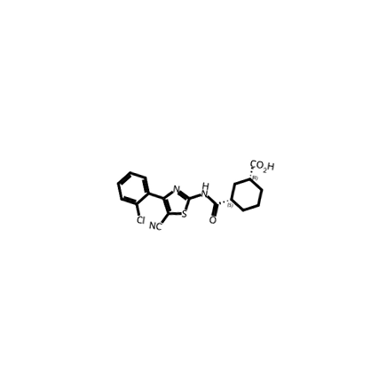 N#Cc1sc(NC(=O)[C@H]2CCC[C@@H](C(=O)O)C2)nc1-c1ccccc1Cl